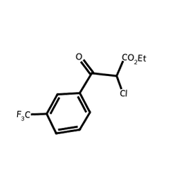 CCOC(=O)C(Cl)C(=O)c1cccc(C(F)(F)F)c1